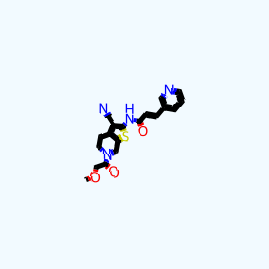 COCC(=O)N1CCc2c(sc(NC(=O)C=Cc3cccnc3)c2C#N)C1